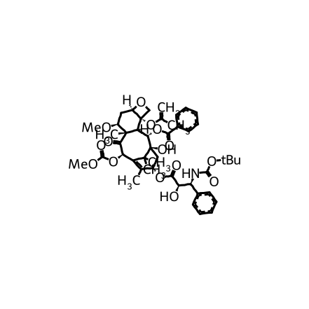 C=C(C)O[C@@]12CO[C@@H]1C[C@H](OC)[C@@]1(C)C(=O)[C@H](OC(=O)OC)C3=C(C)[C@@H](OC(=O)[C@H](O)[C@@H](NC(=O)OC(C)(C)C)c4ccccc4)C[C@@](O)([C@@H](OC(=O)c4ccccc4)[C@H]21)C3(C)C